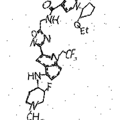 CCO[C@@H]1CCC[C@H]1n1cc(C(=O)NCc2nc(-c3cc4c(N[C@@H]5CCN(C)C[C@@H]5F)cccc4n3CC(F)(F)F)no2)cn1